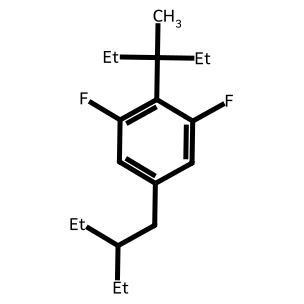 CCC(CC)Cc1cc(F)c(C(C)(CC)CC)c(F)c1